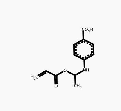 C=CC(=O)OC(C)Nc1ccc(C(=O)O)cc1